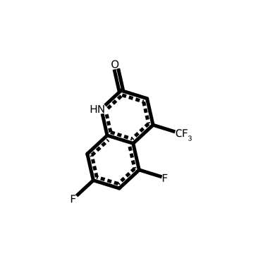 O=c1cc(C(F)(F)F)c2c(F)cc(F)cc2[nH]1